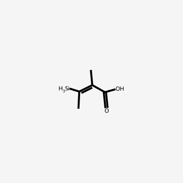 CC([SiH3])=C(C)C(=O)O